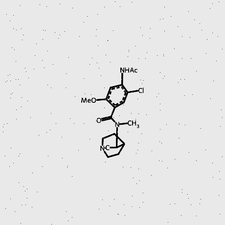 COc1cc(NC(C)=O)c(Cl)cc1C(=O)N(C)C1CN2CCC1CC2